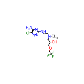 CN(CCNc1nnc(Cl)c(N)n1)C[C@H](O)COCC(F)(F)F